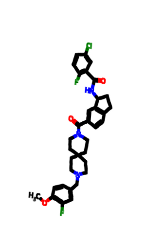 COc1ccc(CN2CCC3(CC2)CCN(C(=O)c2ccc4c(c2)C(NC(=O)c2cc(Cl)ccc2F)CC4)CC3)cc1F